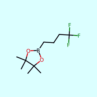 CC1(C)OB(CCCC(F)(F)F)OC1(C)C